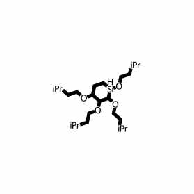 CC(C)CCOC1CC[SiH](OCCC(C)C)C(OCCC(C)C)C1OCCC(C)C